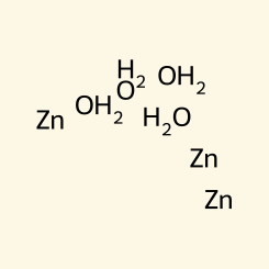 O.O.O.O.[Zn].[Zn].[Zn]